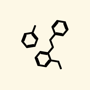 CCc1ccccc1CCc1ccccc1.Cc1ccccc1